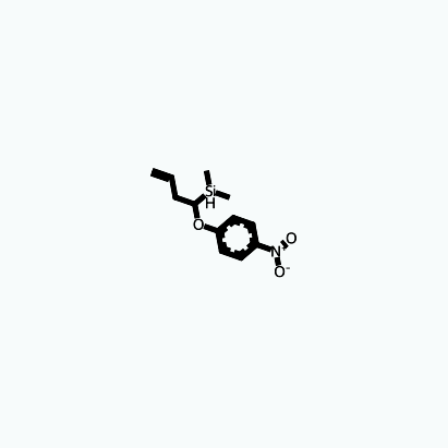 C=CCC(Oc1ccc([N+](=O)[O-])cc1)[SiH](C)C